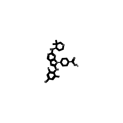 CC1(C)COCC[C@H]1Nc1ncc2nc(Nc3c(F)cc(Cl)cc3F)n([C@H]3CC[C@H](C(N)=O)CC3)c2n1